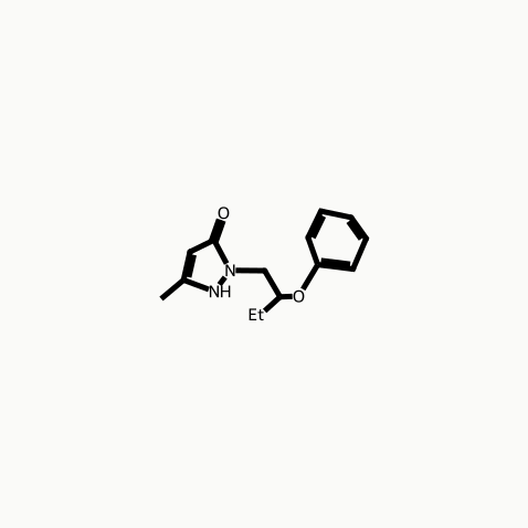 CCC(Cn1[nH]c(C)cc1=O)Oc1ccccc1